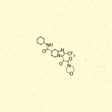 O=C(Nc1ccccc1)c1ccn2c(C(=O)C(=O)N3CCOCC3)c(C(F)(F)F)nc2c1